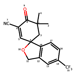 CC1(C)CC2(C=C(C#N)C1=O)OCc1cc(C(F)(F)F)ccc12